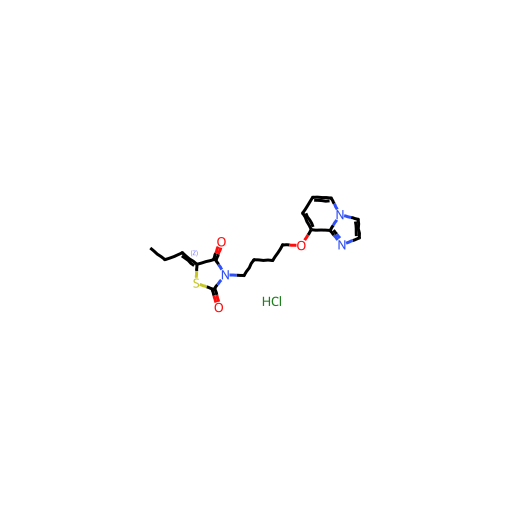 CC/C=C1\SC(=O)N(CCCCOc2cccn3ccnc23)C1=O.Cl